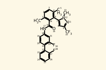 Cc1ccc(C)c(-c2cc(C(F)(F)F)nn2C)c1C(=O)Nc1ccc(-c2ccccc2F)c(F)c1